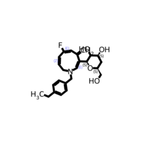 C=C1/C=C(F)\C=C/CN(Cc2ccc(CC)cc2)/C=C\1[C@@H]1O[C@H](CO)C[C@H](O)C1O